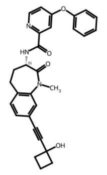 CN1C(=O)[C@@H](NC(=O)c2cc(Oc3ccccc3)ccn2)CCc2ccc(C#CC3(O)CCC3)cc21